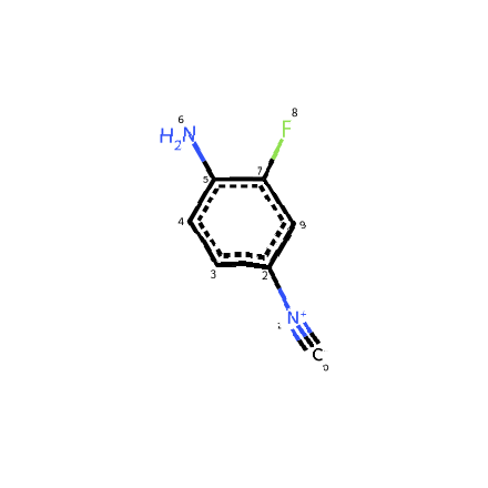 [C-]#[N+]c1ccc(N)c(F)c1